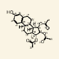 CC(=O)O[C@@H]1[C@H](OC(C)=O)[C@H]2[C@@H]3CCc4cc(O)ccc4[C@H]3CC[C@]2(C)[C@H]1OC(C)=O